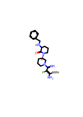 CN/C(N)=C(/F)C(=N)N1CCC[C@@H](N2CCCC(NCc3ccccc3)C2=O)C1